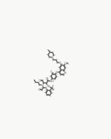 CCCCN1C(C=O)C(C(=O)Nc2ccc(Oc3ccnc4cc(OC)c(OCCCN5CCC(C)CC5)cc34)c(F)c2)=NN(c2ccccc2C(F)(F)F)C1C=O